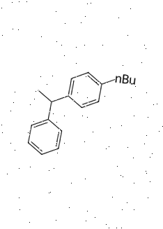 CCCCc1ccc(C(C)c2ccccc2)cc1